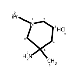 CC(C)N1CCCC(C)(N)C1.Cl